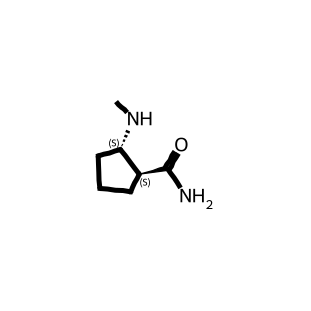 CN[C@H]1CCC[C@@H]1C(N)=O